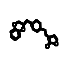 O=C1OCCN1CCC1CCN(CC2COc3ccccc3O2)CC1